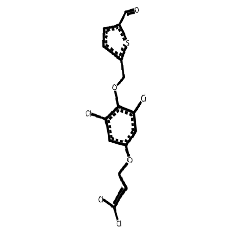 O=Cc1ccc(COc2c(Cl)cc(OCC=C(Cl)Cl)cc2Cl)s1